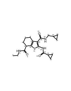 CCNC(=O)C1CCCc2c1sc(NC(=O)C1CC1)c2C(=O)NCC1CC1